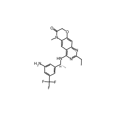 CCc1nc(N[C@H](C)c2cc(N)cc(C(F)(F)F)c2)c2cc3c(cc2n1)OCC(=O)N3C